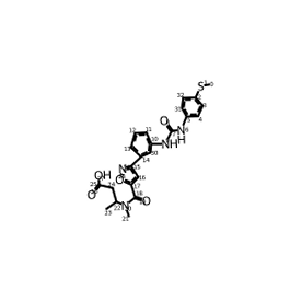 CSc1ccc(NC(=O)Nc2cccc(-c3cc(C(=O)N(C)C(C)CC(=O)O)on3)c2)cc1